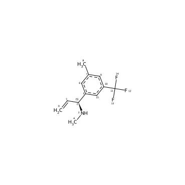 C=C[C@H](NC)c1cc(C)cc(C(F)(F)F)c1